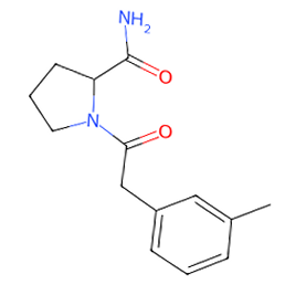 Cc1cccc(CC(=O)N2CCCC2C(N)=O)c1